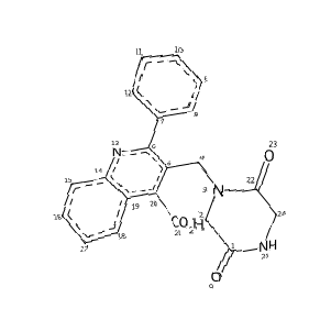 O=C1CN(Cc2c(-c3ccccc3)nc3ccccc3c2C(=O)O)C(=O)CN1